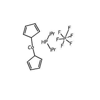 C1=C[CH]([Co][CH]2C=CC=C2)C=C1.CC(C)PC(C)C.F[P-](F)(F)(F)(F)F